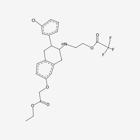 CCOC(=O)COc1ccc2c(c1)CC(NCCOC(=O)C(F)(F)F)C(c1cccc(Cl)c1)C2